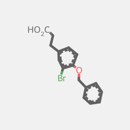 O=C(O)CCc1ccc(OCc2ccccc2)c(Br)c1